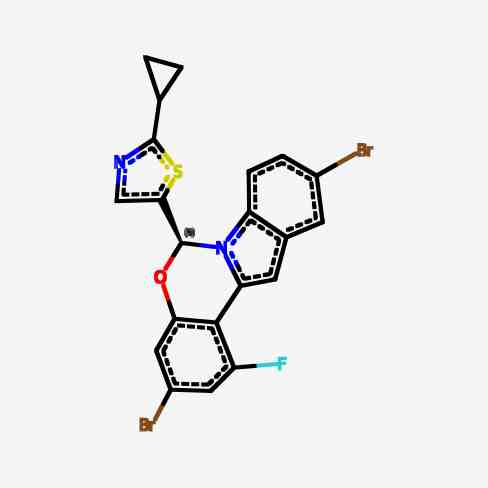 Fc1cc(Br)cc2c1-c1cc3cc(Br)ccc3n1[C@H](c1cnc(C3CC3)s1)O2